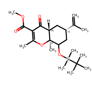 C=C(C)[C@@H]1CC(O[Si](C)(C)C(C)(C)C)[C@@]2(C)OC(C)=C(C(=O)OC)C(=O)[C@@H]2C1